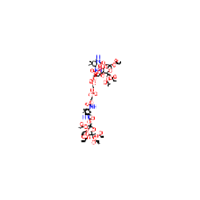 C=CC(=O)OCC(CCOC(=O)NC1(C)CC(NC(=O)OCOC(=O)OCCOC(=O)OCCOC(=O)NC2CC(C)(C)CC(C)(NC(=O)OCC(COCC(COC(=O)C=C)(COC(=O)C=C)COC(=O)C=C)(COC(=O)C=C)COC(=O)C=C)C2)CC(C)(C)C1)(COCC(COC(=O)C=C)(COC(=O)C=C)COC(=O)C=C)COC(=O)C=C